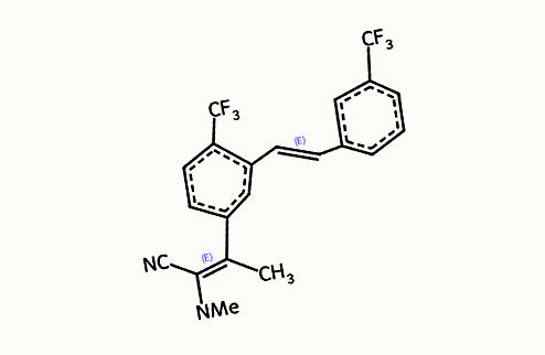 CN/C(C#N)=C(\C)c1ccc(C(F)(F)F)c(/C=C/c2cccc(C(F)(F)F)c2)c1